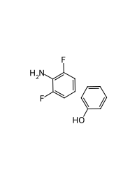 Nc1c(F)cccc1F.Oc1ccccc1